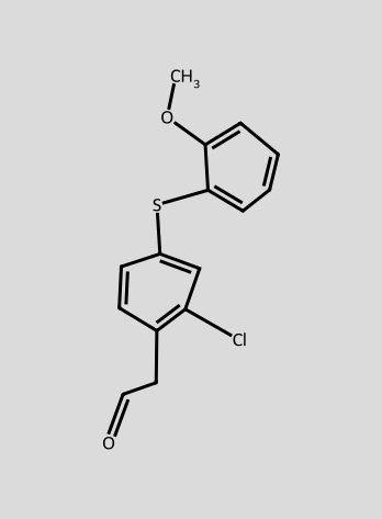 COc1ccccc1Sc1ccc(CC=O)c(Cl)c1